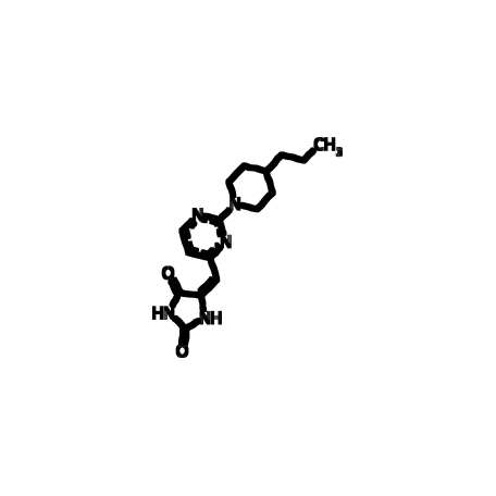 CCCC1CCN(c2nccc(C=C3NC(=O)NC3=O)n2)CC1